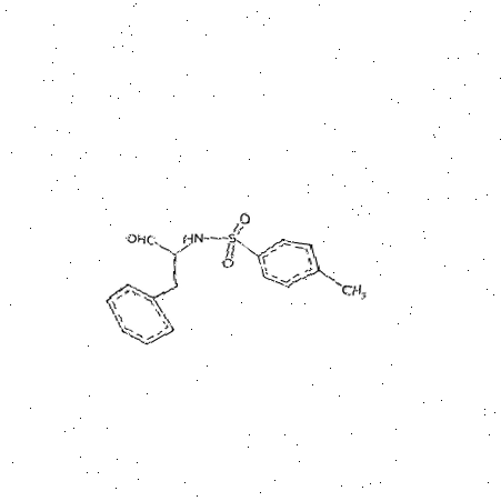 Cc1ccc(S(=O)(=O)NC([C]=O)Cc2ccccc2)cc1